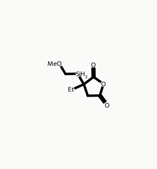 CCC1([SiH2]COC)CC(=O)OC1=O